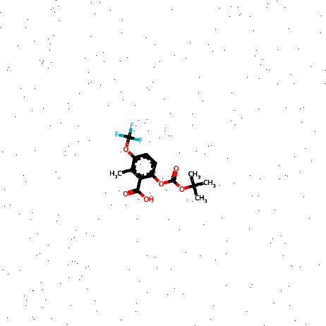 Cc1c(OC(F)(F)F)ccc(OC(=O)OC(C)(C)C)c1C(=O)O